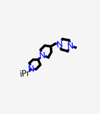 CC(C)N1CCC(N2CCC(CN3CCN(C)CC3)CC2)CC1